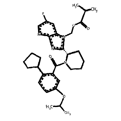 CC(C)Oc1ccc(C2CCCC2)c(C(=O)N2CCCC[C@H]2c2nc3ncc(F)cc3n2COC(=O)C(C)C)c1